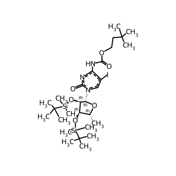 C[C@H]1O[C@@H](n2cc(I)c(NC(=O)OCCC(C)(C)C)nc2=O)[C@H](O[Si](C)(C)C(C)(C)C)[C@@H]1O[Si](C)(C)C(C)(C)C